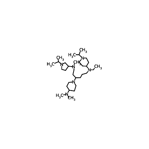 CCN(CCCC(CCN(C)C1CCN(C(C)C)C1)N1CCC(N(C)C)CC1)C1CCN(C(C)C)CC1